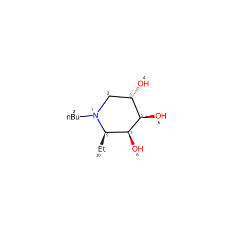 CCCCN1C[C@H](O)[C@@H](O)[C@@H](O)[C@H]1CC